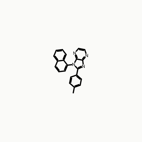 Cc1ccc(-c2nc3nccnc3n2-c2cccc3ccccc23)cc1